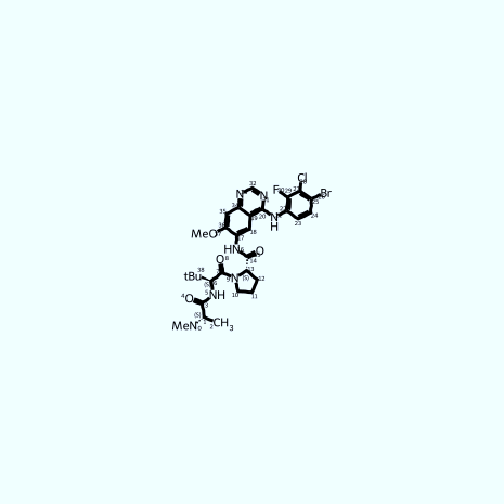 CN[C@@H](C)C(=O)N[C@H](C(=O)N1CCC[C@H]1C(=O)Nc1cc2c(Nc3ccc(Br)c(Cl)c3F)ncnc2cc1OC)C(C)(C)C